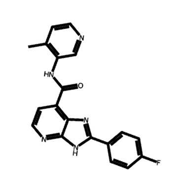 Cc1ccncc1NC(=O)c1ccnc2[nH]c(-c3ccc(F)cc3)nc12